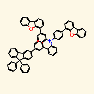 c1ccc(C2(c3ccccc3)c3ccccc3-c3cc(-c4cccc(-c5ccccc5N(c5ccc(-c6cccc7c6oc6ccccc67)cc5)c5cccc(-c6cccc7c6oc6ccccc67)c5)c4)ccc32)cc1